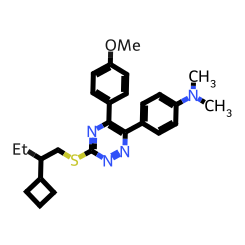 CCC(CSc1nnc(-c2ccc(N(C)C)cc2)c(-c2ccc(OC)cc2)n1)C1CCC1